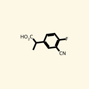 CC(C(=O)O)c1ccc(F)c(C#N)c1